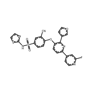 N#Cc1cc(S(=O)(=O)Nc2nccs2)ccc1Oc1ccc(-c2ccnc(F)c2)nc1-c1ccoc1